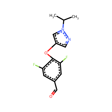 CC(C)n1cc(Oc2c(F)cc(C=O)cc2F)cn1